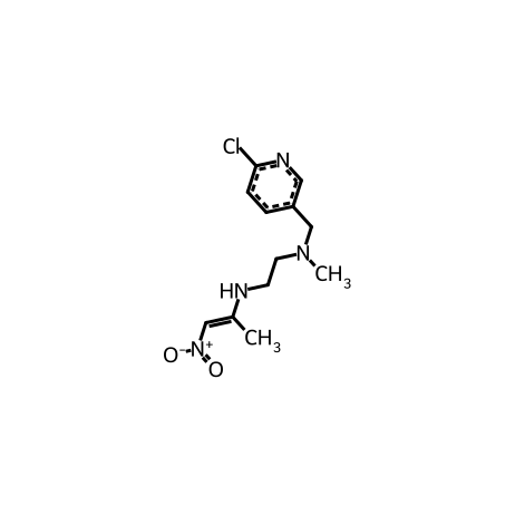 C/C(=C\[N+](=O)[O-])NCCN(C)Cc1ccc(Cl)nc1